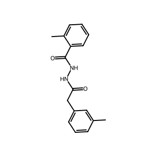 Cc1cccc(CC(=O)NNC(=O)c2ccccc2C)c1